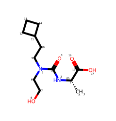 C[C@H](NC(=O)N(CCO)CCC1CCC1)C(=O)O